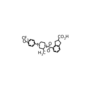 CC1CN(c2ccc(OC(F)(F)F)cc2)CCN1S(=O)(=O)c1cccc2c1CC(C(=O)O)C2